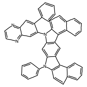 c1ccc(-c2cc3nccnc3cc2-n2c3cc4c(cc3c3c5ccccc5ccc32)c2c3ccccc3ccc2n4-c2ccccc2)cc1